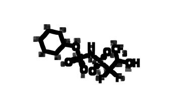 O=S(=O)(NS(=O)(=O)C(F)(F)C(O)C(F)(F)F)OC1CCCCC1